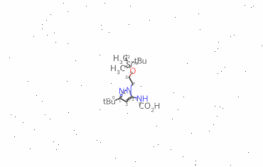 CC(C)(C)c1cc(NC(=O)O)n(CCO[Si](C)(C)C(C)(C)C)n1